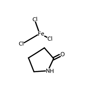 O=C1CCCN1.[Cl][Fe]([Cl])[Cl]